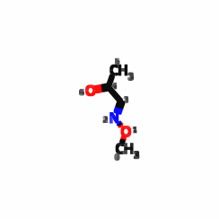 CO/N=C/C(C)=O